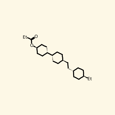 CCC(=O)O[C@H]1CC[C@H]([C@H]2CC[C@H](CC[C@H]3CC[C@H](CC)CC3)CC2)CC1